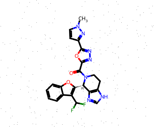 Cn1ccc(-c2nnc(C(=O)N3CCc4[nH]cnc4[C@@H]3c3oc4ccccc4c3C(F)F)o2)n1